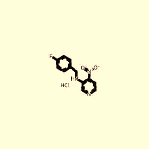 Cl.O=[N+]([O-])c1ccncc1NCc1ccc(F)cc1